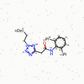 CCCCCCCCCCCCn1nnc(CC(=O)Nc2c(C(C)C)cccc2C(C)C)n1